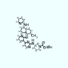 Cc1ccc2c(Nc3ccccn3)cccc2c1Oc1ncccc1-c1ccnc(N[C@H]2CCCN(C(=O)OC(C)(C)C)C2)n1